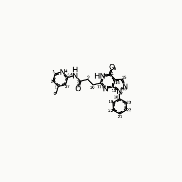 Cc1ccnc(NC(=O)CCc2nc3c(cnn3-c3ccccc3)c(=O)[nH]2)c1